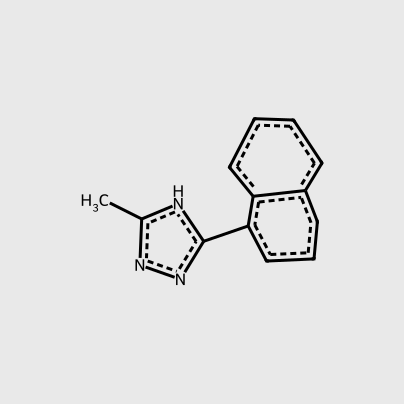 Cc1nnc(-c2cccc3ccccc23)[nH]1